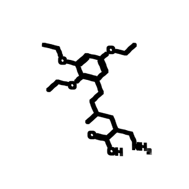 CCOc1cc(CCC(C)CC(CN)C(=O)O)c(OCC)c(OCC)c1